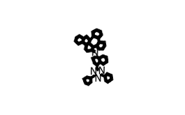 c1ccc(-c2nc(-c3ccccc3)nc(-c3ccc(-n4c5cccc6c5c5c7c(cc8ccccc8c7ccc54)-c4ccccc4-6)c4ccccc34)n2)cc1